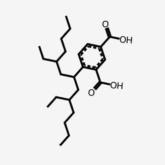 CCCCC(CC)CC(CC(CC)CCCC)c1ccc(C(=O)O)cc1C(=O)O